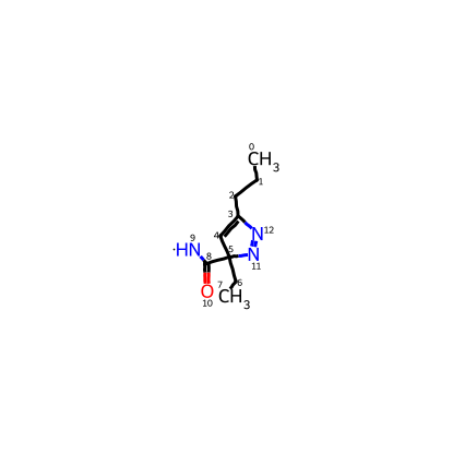 CCCC1=CC(CC)(C([NH])=O)N=N1